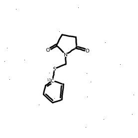 O=C1CCC(=O)N1CS[13c]1ccccc1